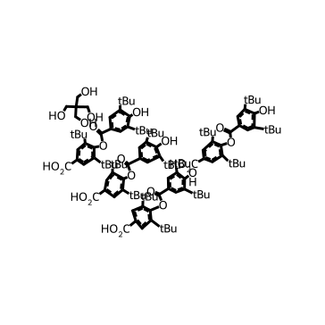 CC(C)(C)c1cc(C(=O)Oc2c(C(C)(C)C)cc(C(=O)O)cc2C(C)(C)C)cc(C(C)(C)C)c1O.CC(C)(C)c1cc(C(=O)Oc2c(C(C)(C)C)cc(C(=O)O)cc2C(C)(C)C)cc(C(C)(C)C)c1O.CC(C)(C)c1cc(C(=O)Oc2c(C(C)(C)C)cc(C(=O)O)cc2C(C)(C)C)cc(C(C)(C)C)c1O.CC(C)(C)c1cc(C(=O)Oc2c(C(C)(C)C)cc(C(=O)O)cc2C(C)(C)C)cc(C(C)(C)C)c1O.OCC(CO)(CO)CO